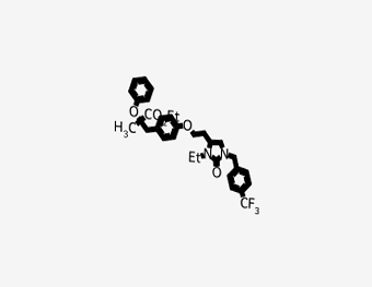 CCOC(=O)C(C)(Cc1ccc(OCCC2CN(Cc3ccc(C(F)(F)F)cc3)C(=O)N2CC)cc1)Oc1ccccc1